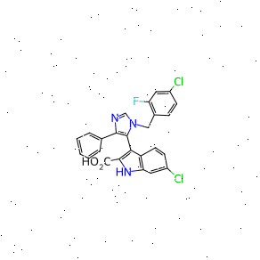 O=C(O)c1[nH]c2cc(Cl)ccc2c1-c1c(-c2ccccc2)ncn1Cc1ccc(Cl)cc1F